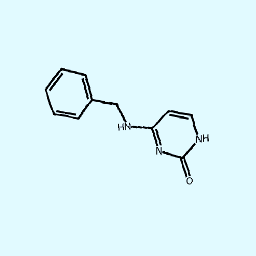 O=c1nc(NCc2ccccc2)cc[nH]1